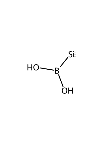 OB(O)[Si]